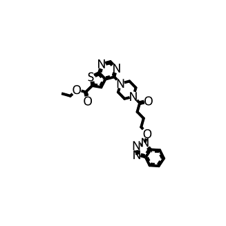 CCOC(=O)c1cc2c(N3CCN(C(=O)CCCOn4nnc5ccccc54)CC3)ncnc2s1